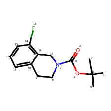 CC(C)(C)OC(=O)N1CCc2cccc(F)c2C1